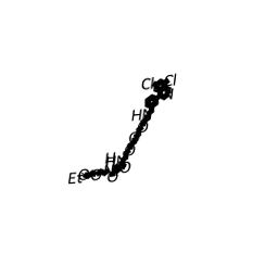 CCOCCOCCNC(=O)C(C)(C)C(=O)NCCOCCOCCOCCNCc1cccc(C2CN(C)Cc3c(Cl)cc(Cl)cc32)c1